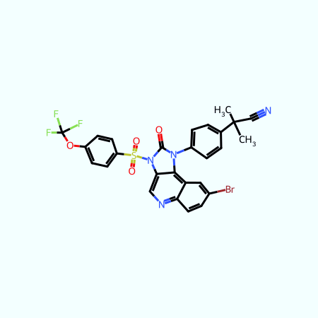 CC(C)(C#N)c1ccc(-n2c(=O)n(S(=O)(=O)c3ccc(OC(F)(F)F)cc3)c3cnc4ccc(Br)cc4c32)cc1